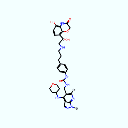 CCc1nc2c(cnn2CC)c(NC2CCOCC2)c1CNC(=O)Nc1ccc(CCCNC[C@H](O)c2ccc(O)c3c2OCC(=O)N3)cc1